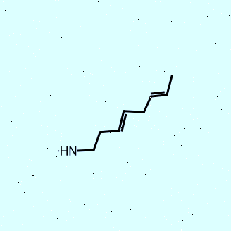 CC=CCC=CCC[NH]